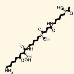 CC(=O)N(O)CCCCCNC(=O)CCC(=O)N(O)CCCCCNC(=O)C(CC(=O)CCCCCN)NO